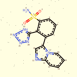 NS(=O)(=O)c1cccc(-c2cnc3ccccn23)c1-c1nnn[nH]1